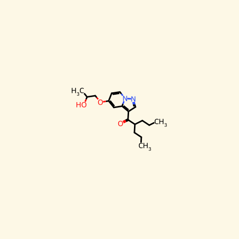 CCCC(CCC)C(=O)c1cnn2ccc(OCC(C)O)cc12